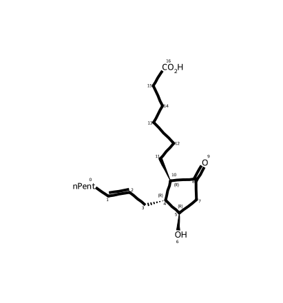 CCCCCC=CC[C@H]1[C@H](O)CC(=O)[C@@H]1CCCCCC(=O)O